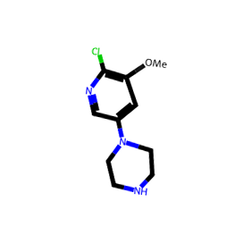 COc1cc(N2CCNCC2)cnc1Cl